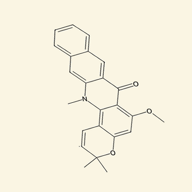 COc1cc2c(c3c1c(=O)c1cc4ccccc4cc1n3C)C=[C]C(C)(C)O2